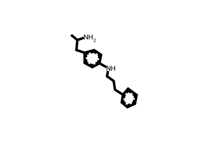 CC(N)Cc1ccc(NCCCc2ccccc2)cc1